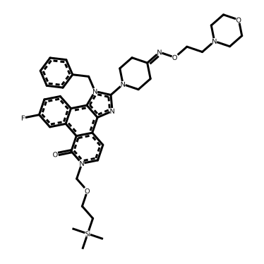 C[Si](C)(C)CCOCn1ccc2c3nc(N4CCC(=NOCCN5CCOCC5)CC4)n(Cc4ccccc4)c3c3ccc(F)cc3c2c1=O